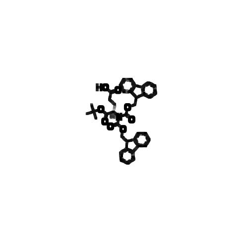 CC(C)(C)OC(=O)[C@H](CCC(=O)O)N(C(=O)OCC1c2ccccc2-c2ccccc21)C(=O)OCC1c2ccccc2-c2ccccc21